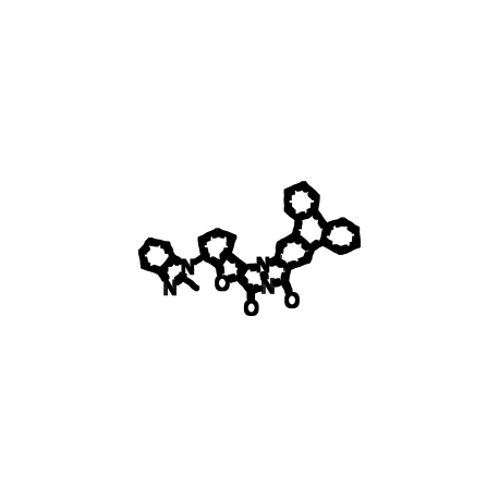 Cc1nc2ccccc2n1-c1cccc2c1oc1c(=O)n3c(=O)c4cc5c6ccccc6c6ccccc6c5cc4n3c12